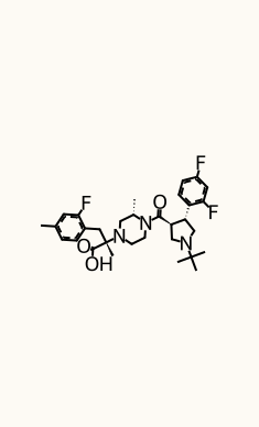 Cc1ccc(C[C@@](C)(C(=O)O)N2CCN(C(=O)[C@@H]3CN(C(C)(C)C)C[C@H]3c3ccc(F)cc3F)[C@@H](C)C2)c(F)c1